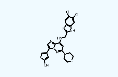 N#Cc1cc(-c2cnc3c(NCc4nc5cc(Cl)c(Cl)cc5[nH]4)cc(N4CCOCC4)nn23)cs1